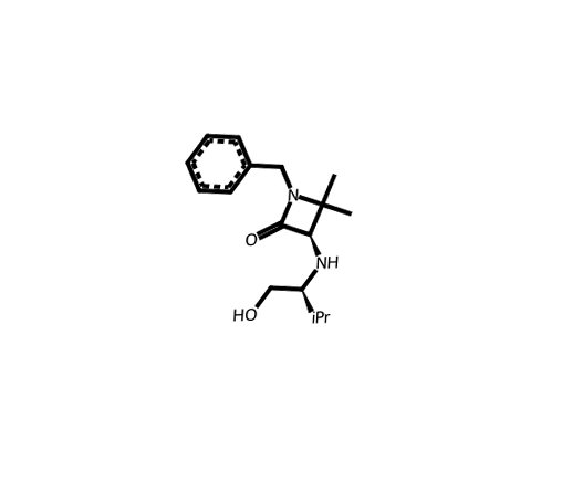 CC(C)[C@@H](CO)N[C@H]1C(=O)N(Cc2ccccc2)C1(C)C